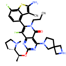 C[C@H](Oc1nc(N2CCC3(CNC3)C2)c2c(=O)n(CCC#N)c(-c3ccc(F)c4sc(N)c(C#N)c34)c(F)c2n1)[C@@H]1CCCN1C